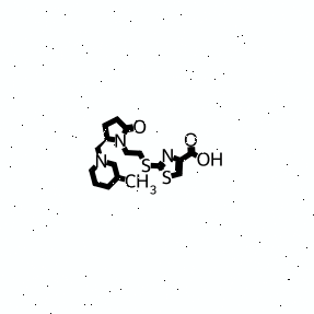 CC1CCCN(C[C@H]2CCC(=O)N2CCSc2nc(C(=O)O)cs2)C1